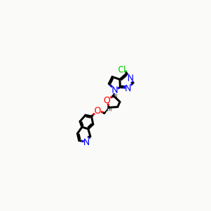 Clc1ncnc2c1ccn2[C@H]1CC[C@@H](COc2ccc3ccncc3c2)O1